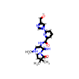 CN/C=C(/NC(=O)c1cccc(-n2cnc(C=O)c2)n1)C(=N)N1CCC(C)(C)C1=O